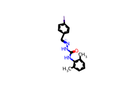 Cc1cccc(C)c1NC(=O)N/N=C/c1ccc(I)cc1